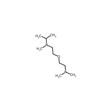 CC(C)N(C)CCOCCN(C)C